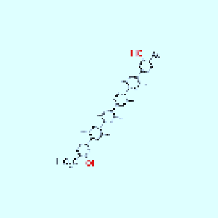 CC(=O)c1ccc(-c2cc(C)c(-c3cc(C)c(-c4cc(C)c(-c5cc(C)c(-c6ccc(C(=O)O)c(O)c6)cc5C)cc4C)cc3C)cc2C)cc1O